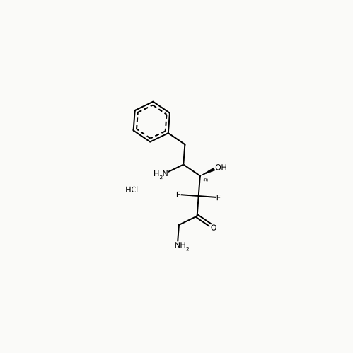 Cl.NCC(=O)C(F)(F)[C@H](O)C(N)Cc1ccccc1